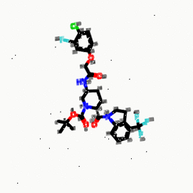 CC(C)(C)OC(=O)N1C[C@@H](NC(=O)COc2ccc(Cl)c(F)c2)CC[C@@H]1C(=O)N1CCc2c1cccc2C(F)(F)F